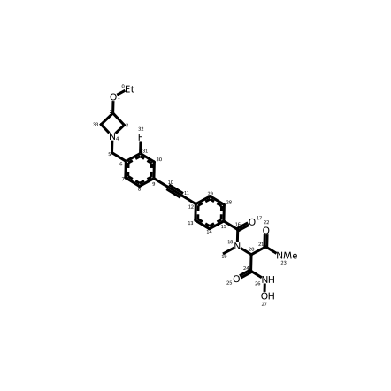 CCOC1CN(Cc2ccc(C#Cc3ccc(C(=O)N(C)C(C(=O)NC)C(=O)NO)cc3)cc2F)C1